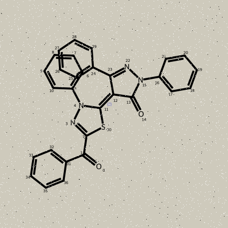 O=C(C1=NN(c2ccccc2)/C(=C2/C(=O)N(c3ccccc3)N=C2c2ccccc2)S1)c1ccccc1